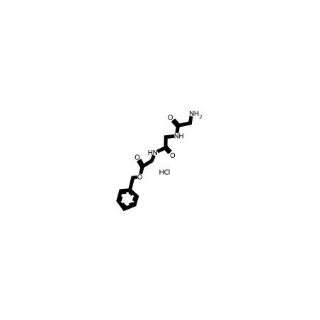 Cl.NCC(=O)NCC(=O)NCC(=O)OCc1ccccc1